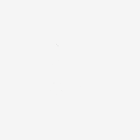 CC(C)(C)CCC1(c2ccc(C#N)cc2)OCCO1